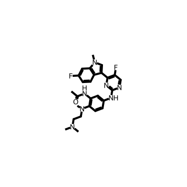 CC(=O)Nc1cc(Nc2ncc(F)c(-c3cn(C)c4cc(F)ccc34)n2)ccc1N(C)CCN(C)C